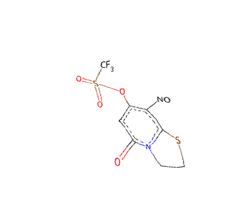 O=Nc1c(OS(=O)(=O)C(F)(F)F)cc(=O)n2c1SCC2